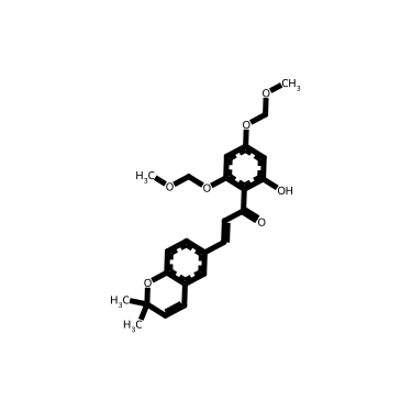 COCOc1cc(O)c(C(=O)/C=C/c2ccc3c(c2)C=CC(C)(C)O3)c(OCOC)c1